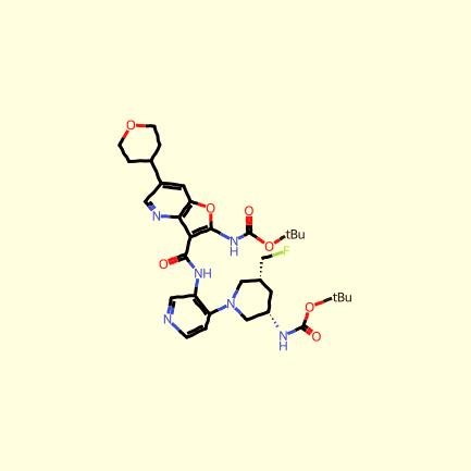 CC(C)(C)OC(=O)Nc1oc2cc(C3CCOCC3)cnc2c1C(=O)Nc1cnccc1N1C[C@H](CF)C[C@H](NC(=O)OC(C)(C)C)C1